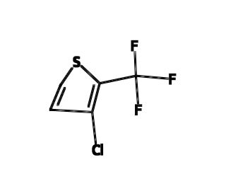 FC(F)(F)c1sccc1Cl